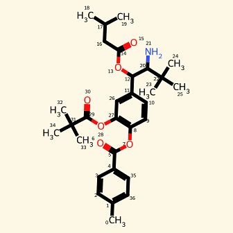 Cc1ccc(C(=O)Oc2ccc(C(OC(=O)CC(C)C)C(N)C(C)(C)C)cc2OC(=O)C(C)(C)C)cc1